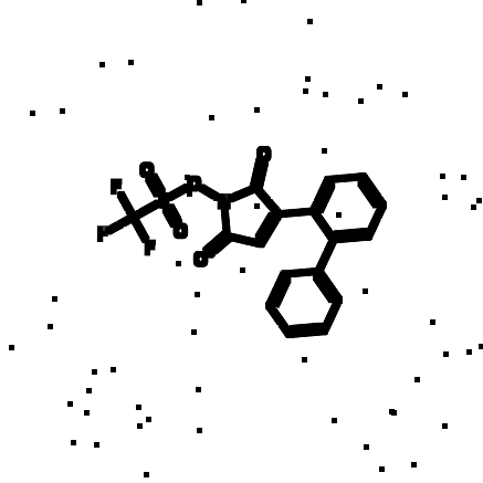 O=C1C=C(c2ccccc2-c2ccccc2)C(=O)N1OS(=O)(=O)C(F)(F)F